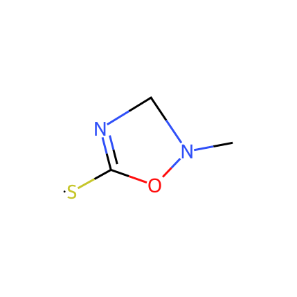 CN1CN=C([S])O1